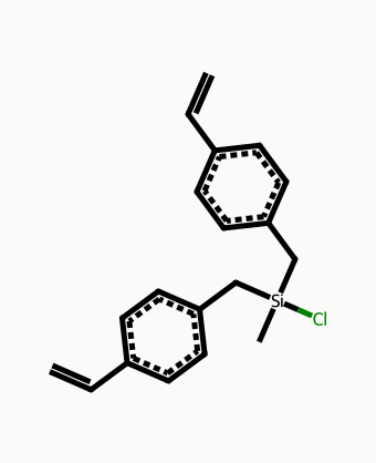 C=Cc1ccc(C[Si](C)(Cl)Cc2ccc(C=C)cc2)cc1